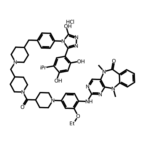 CCOc1cc(N2CCC(C(=O)N3CCC(CN4CCC(Cc5ccc(-n6c(O)nnc6-c6cc(C(C)C)c(O)cc6O)cc5)CC4)CC3)CC2)ccc1Nc1ncc2c(n1)N(C)c1ccccc1C(=O)N2C.Cl